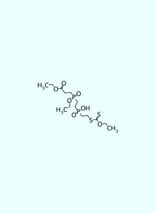 CCOC(=O)CCP(=O)(CCP(=O)(O)CCSC(=S)OCC)OCC